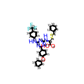 O=C(O)[C@H](CSCc1ccccc1)Nc1nc(Nc2ccc(C(F)(F)F)cc2)nc(-c2ccc(Oc3ccccc3)cc2)n1